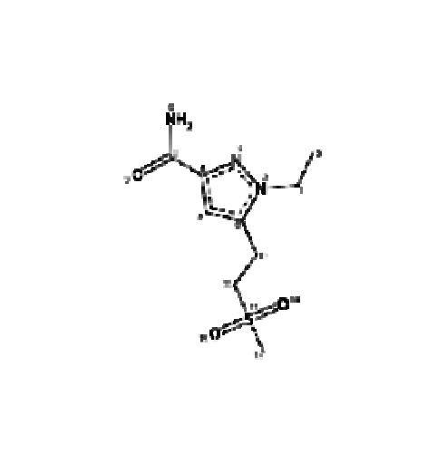 CCn1nc(C(N)=O)cc1CCS(C)(=O)=O